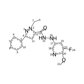 CCn1nc(-c2ccccc2)cc1C(=O)NNc1cnc(OC)c(F)c1